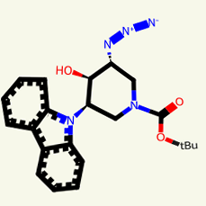 CC(C)(C)OC(=O)N1C[C@@H](n2c3ccccc3c3ccccc32)[C@@H](O)[C@H](N=[N+]=[N-])C1